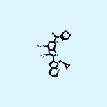 COc1cc(C(=O)N2CC3CCC2[C@@H]3C)cc2sc(-c3cc4cccnc4n3CC3CC3)c(C)c12